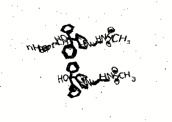 CCCCCCCC.CS(=O)(=O)NCCC[N+]12CCC(C(O)(c3ccccc3)c3ccccc3)(CC1)CC2.CS(=O)(=O)NCCC[N+]12CCC(C(O)(c3ccccc3)c3ccccc3)(CC1)CC2.[Br-].[Br-]